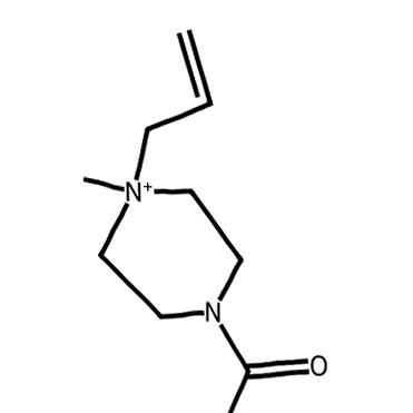 C=CC[N+]1(C)CCN(C(=O)CCCCCCC)CC1